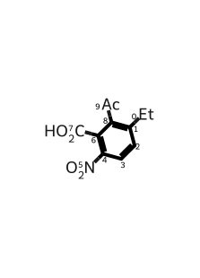 CCc1ccc([N+](=O)[O-])c(C(=O)O)c1C(C)=O